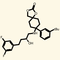 CC(C)(C)c1cccc(C2(NC[C@@H](O)CCc3cc(F)cc(F)c3)CCC3(CC2)COC(=O)O3)c1